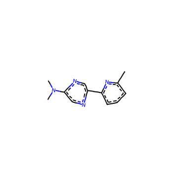 Cc1cccc(-c2cnc(N(C)C)cn2)n1